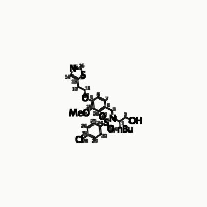 CCCCC(CO)N(Cc1ccc(OCCc2cncs2)c(OC)c1)S(=O)(=O)c1ccc(Cl)cc1